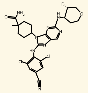 CC1(C(N)=O)CCC(n2c(Nc3c(Cl)cc(C#N)cc3Cl)nc3cnc(N[C@@H]4CCOC[C@H]4F)nc32)CC1